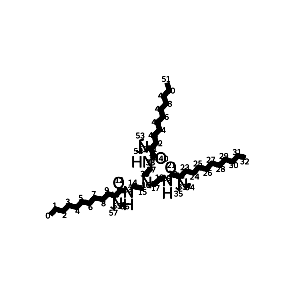 CCCCCCCCCCC(C(=O)NCCN(CCNC(=O)C(CCCCCCCCCC)N(C)C)CCNC(=O)C(CCCCCCCCCC)N(C)C)N(C)C